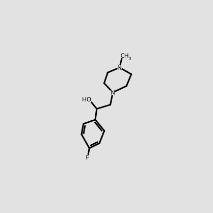 CN1CCN(CC(O)c2ccc(F)cc2)CC1